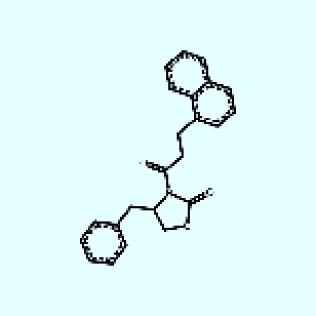 O=C(CCc1cccc2ccccc12)N1C(=O)OCC1Cc1ccccc1